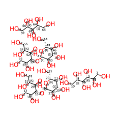 OC[C@@H](O)[C@@H](O)[C@H](O)[C@@H](O)CO.OC[C@@H](O)[C@@H](O[C@@H]1O[C@H](CO)[C@H](O)[C@H](O)[C@H]1O)[C@H](O)[C@@H](O)CO.OC[C@@H](O)[C@@H](O[C@H]1O[C@H](CO)[C@@H](O)[C@H](O)[C@H]1O)[C@H](O)[C@@H](O)CO.OC[C@@H](O)[C@H](O)[C@@H](O)CO